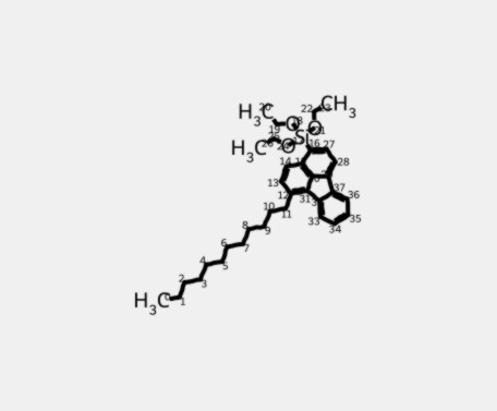 CCCCCCCCCCCCc1ccc2c([Si](OCC)(OCC)OCC)ccc3c2c1-c1ccccc1-3